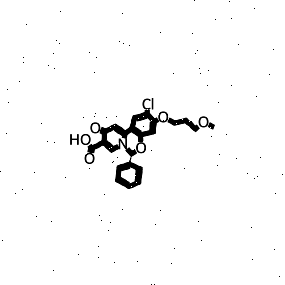 COCCCOc1cc2c(cc1Cl)-c1cc(=O)c(C(=O)O)cn1[C@@H](c1ccccc1)O2